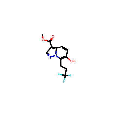 COC(=O)c1cnn2c(CCC(F)(F)F)c(O)ccc12